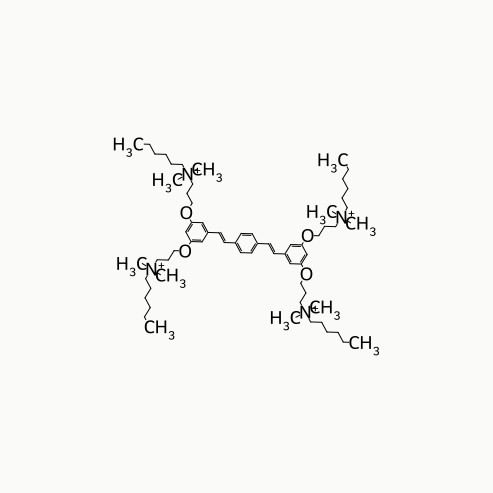 CCCCCC[N+](C)(C)CCCOc1cc(/C=C/c2ccc(/C=C/c3cc(OCCC[N+](C)(C)CCCCCC)cc(OCCC[N+](C)(C)CCCCCC)c3)cc2)cc(OCCC[N+](C)(C)CCCCCC)c1